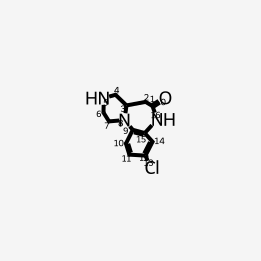 O=C1CC2CNCCN2c2ccc(Cl)cc2N1